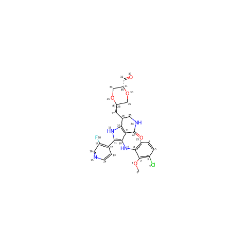 COc1c(Cl)cccc1Nc1c(-c2ccncc2F)[nH]c2c1C(=O)NCC2C[C@@H]1CO[C@@H](C=O)CO1